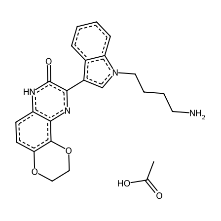 CC(=O)O.NCCCCn1cc(-c2nc3c4c(ccc3[nH]c2=O)OCCO4)c2ccccc21